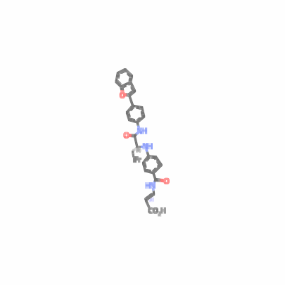 CC(C)C[C@@H](Nc1ccc(C(=O)N/C=C/C(=O)O)cc1)C(=O)Nc1ccc(-c2cc3ccccc3o2)cc1